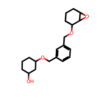 OC1CCCC(OCc2cccc(COC3CCCC4OC34)c2)C1